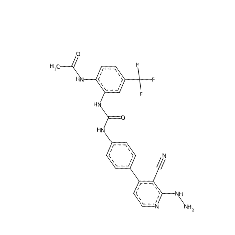 CC(=O)Nc1ccc(C(F)(F)F)cc1NC(=O)Nc1ccc(-c2ccnc(NN)c2C#N)cc1